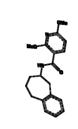 COc1ccc(C(=O)NC2CCCc3ccccc3C2)c(OC)n1